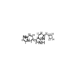 c1cn2cc(-c3c[nH]c4nc(CC5CCC5)ccc34)ccc2n1